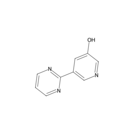 Oc1cncc(-c2ncccn2)c1